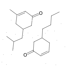 CC1=CC(=O)CC(CC(C)C)C1.CCCCC1CC=CC(=O)C1